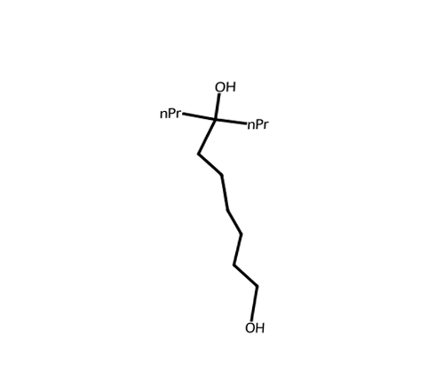 CCCC(O)(CCC)CCCCCCO